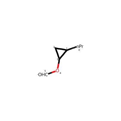 CCCC1CC1O[C]=O